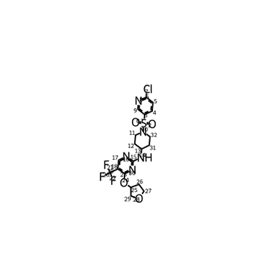 O=S(=O)(c1ccc(Cl)nc1)N1CCC(Nc2ncc(C(F)(F)F)c(OC3CCOC3)n2)CC1